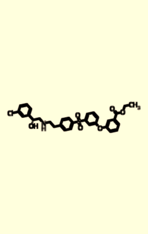 CCOC(=O)c1cccc(Oc2cccc(S(=O)(=O)c3ccc(CCNC[C@H](O)c4cccc(Cl)c4)cc3)c2)c1